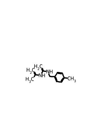 C=C(C)NC(=C)NCc1ccc(C)cc1